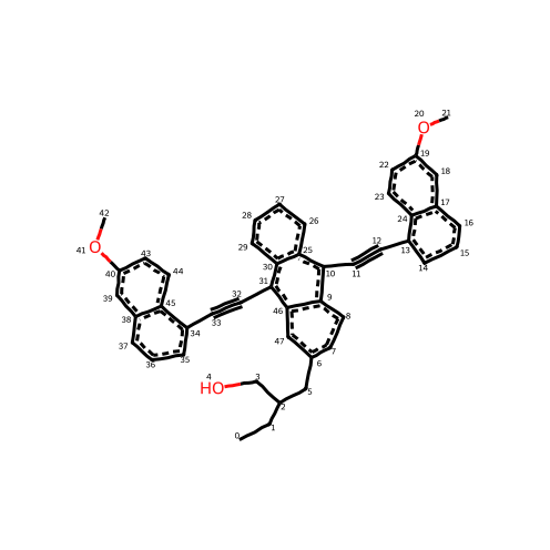 CCC(CO)Cc1ccc2c(C#Cc3cccc4cc(OC)ccc34)c3ccccc3c(C#Cc3cccc4cc(OC)ccc34)c2c1